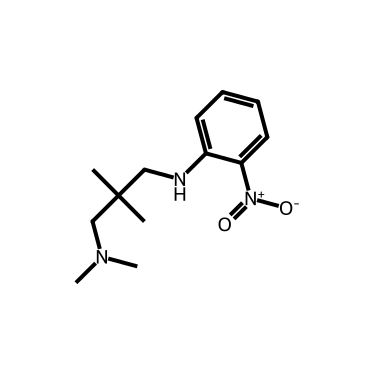 CN(C)CC(C)(C)CNc1ccccc1[N+](=O)[O-]